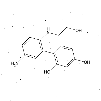 Nc1ccc(NCCO)c(-c2ccc(O)cc2O)c1